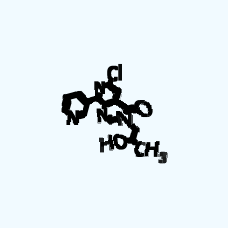 CC(O)Cn1cnc2c(-c3cccnc3)nc(Cl)cc2c1=O